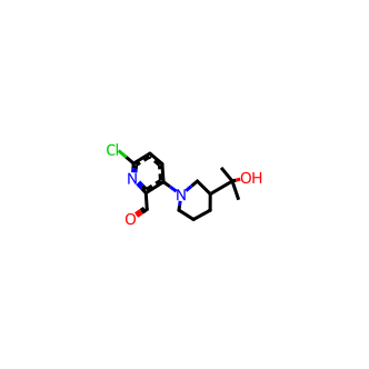 CC(C)(O)C1CCCN(c2ccc(Cl)nc2C=O)C1